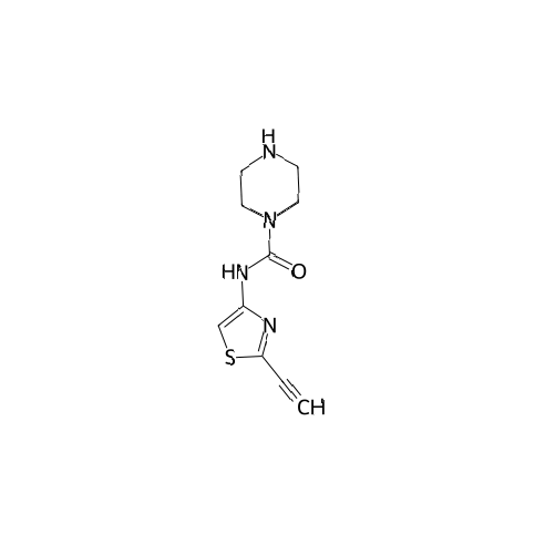 C#Cc1nc(NC(=O)N2CCNCC2)cs1